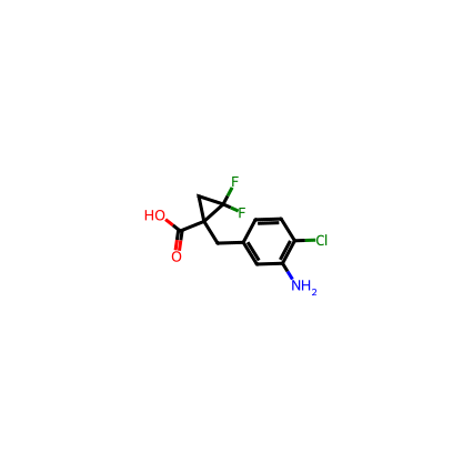 Nc1cc(CC2(C(=O)O)CC2(F)F)ccc1Cl